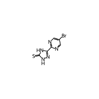 S=c1[nH]nc(-c2ncc(Br)cn2)[nH]1